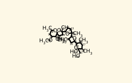 COC1C[C@@H](C)O[C@]2(O[C@](C)(C3CC[C@@](C)(C4OC(C5O[C@@](O)(CO)[C@H](C)C[C@@H]5C)C[C@@H]4C)O3)C[C@H]2C)C1C